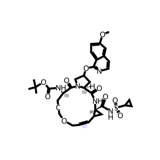 COc1ccc2c(OC3C[C@H]4C(=O)N[C@]5(C(=O)NS(=O)(=O)C6CC6)CC5/C=C\COCCC[C@H](NC(=O)OC(C)(C)C)C(=O)N4C3)nccc2c1